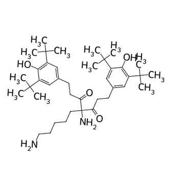 CC(C)(C)c1cc(CCC(=O)C(N)(CCCCCN)C(=O)CCc2cc(C(C)(C)C)c(O)c(C(C)(C)C)c2)cc(C(C)(C)C)c1O